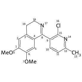 COc1cc2c(cc1OC)C(c1ccc(C)nc1Cl)=NCC2